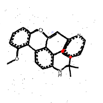 COc1cccc2c1-c1ccc3c(c1/C(=C\c1ccccn1)O2)C(C)=CC(C)(C)N3